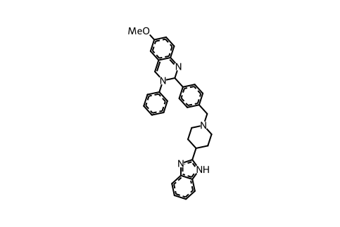 COc1ccc2c(c1)=CN(c1ccccc1)C(c1ccc(CN3CCC(c4nc5ccccc5[nH]4)CC3)cc1)N=2